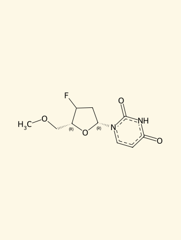 COC[C@H]1O[C@@H](n2ccc(=O)[nH]c2=O)CC1F